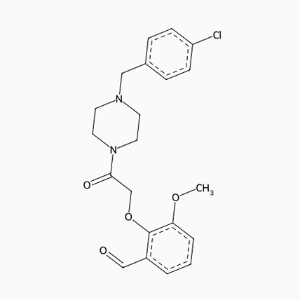 COc1cccc(C=O)c1OCC(=O)N1CCN(Cc2ccc(Cl)cc2)CC1